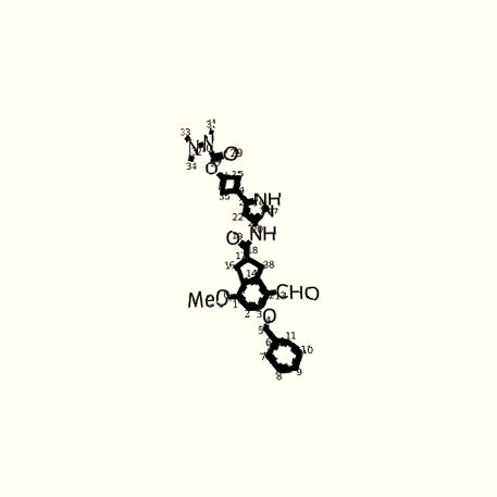 COc1cc(OCc2ccccc2)c(C=O)c2c1CC(C(=O)Nc1cc(C3CC(OC(=O)N(C)N(C)C)C3)[nH]n1)C2